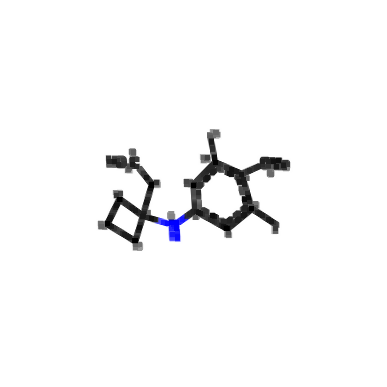 COc1c(C)cc(NC2(CC(=O)O)CCC2)cc1C